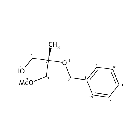 COC[C@](C)(CO)OCc1ccccc1